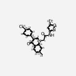 CCc1cc(NC(=O)Cn2cc(-c3ccc(Cl)cc3)c(=O)c3ccc(C)cc32)no1